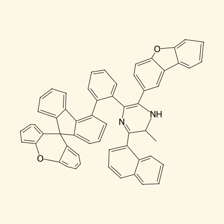 CC1NC(c2ccc3oc4ccccc4c3c2)=C(c2ccccc2-c2cccc3c2-c2ccccc2C32c3ccccc3Oc3ccccc32)N=C1c1cccc2ccccc12